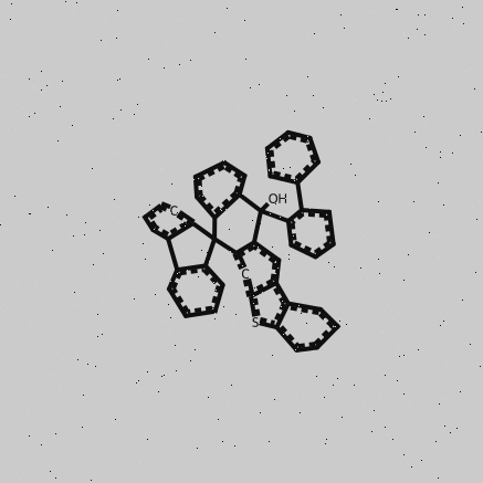 OC1(c2ccccc2-c2ccccc2)c2ccccc2C2(c3ccccc3-c3ccccc32)c2cc3sc4ccccc4c3cc21